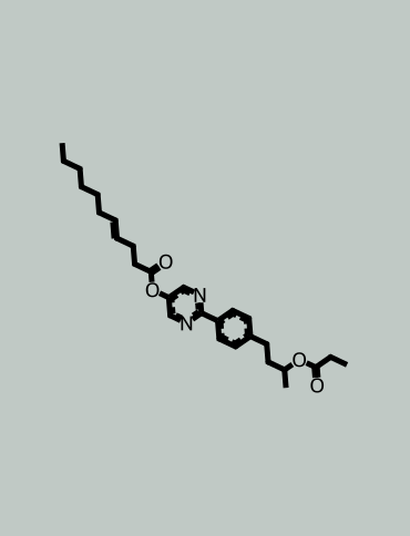 CCCCCCC=CCCC(=O)Oc1cnc(-c2ccc(CCC(C)OC(=O)CC)cc2)nc1